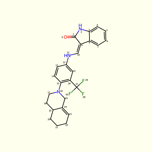 O=C1Nc2ccccc2C1=CNc1ccc(N2CCC3CCCC=C3C2)c(C(F)(F)F)c1